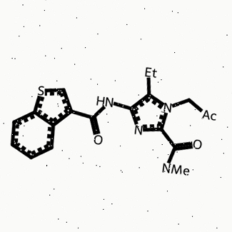 CCc1c(NC(=O)c2csc3ccccc23)nc(C(=O)NC)n1CC(C)=O